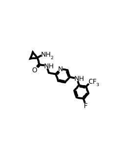 NC1(C(=O)NCc2ccc(Nc3ccc(F)cc3C(F)(F)F)cn2)CC1